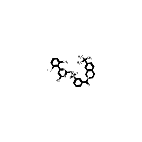 Cc1cccc(C)c1-c1cc(O)nc(NS(=O)(=O)c2cccc(C(=O)N3CCc4ccc(C(C)(C)C)cc4C3)c2)n1